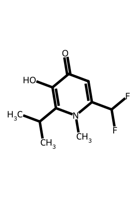 CC(C)c1c(O)c(=O)cc(C(F)F)n1C